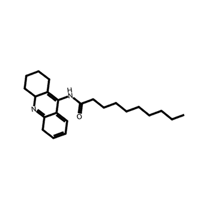 CCCCCCCCCC(=O)NC1=C2CCCCC2N=C2CC=CC=C21